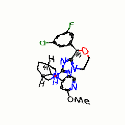 COc1cc(N2C[C@H]3CC[C@@H](C2)C3Nc2nc3n(n2)CCO[C@@H]3c2cc(F)cc(Cl)c2)ccn1